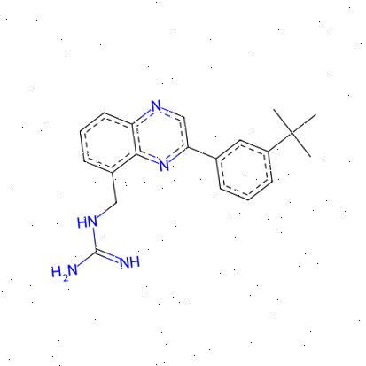 CC(C)(C)c1cccc(-c2cnc3cccc(CNC(=N)N)c3n2)c1